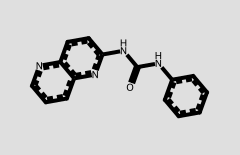 O=C(Nc1ccccc1)Nc1ccc2ncccc2n1